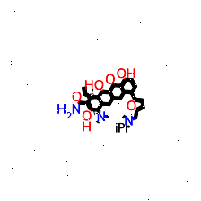 C=C[C@]1(C)C(C(N)=O)=C(O)[C@@H](N(C)C)C2CC3Cc4c(-c5ccc(CN(C)C(C)C)o5)ccc(O)c4C(=O)C3=C(O)C21